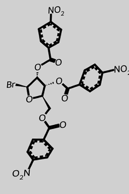 O=C(OC[C@H]1O[C@@H](Br)[C@H](OC(=O)c2ccc([N+](=O)[O-])cc2)[C@@H]1OC(=O)c1ccc([N+](=O)[O-])cc1)c1ccc([N+](=O)[O-])cc1